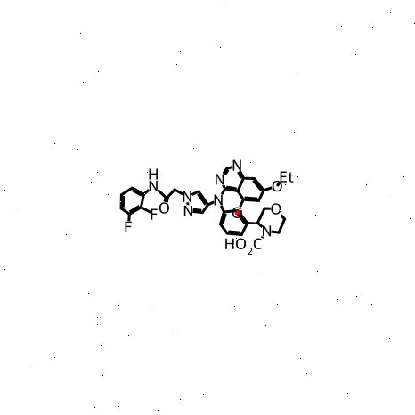 CCOc1cc(OC[C@H]2COCCN2C(=O)O)c2c(N(c3ccccc3)c3cnn(CC(=O)Nc4cccc(F)c4F)c3)ncnc2c1